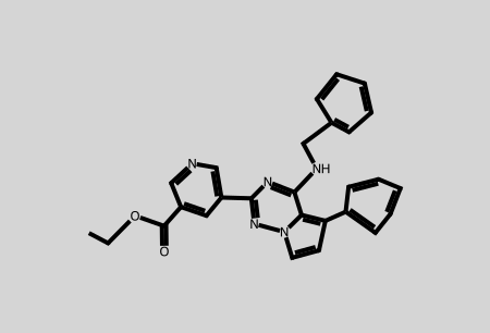 CCOC(=O)c1cncc(-c2nc(NCc3ccccc3)c3c(-c4ccccc4)ccn3n2)c1